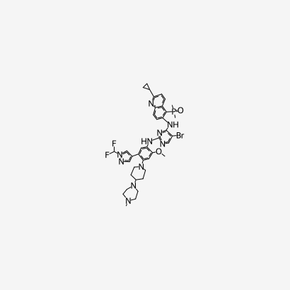 COc1cc(N2CCC(N3CCN(C)CC3)CC2)c(-c2cnn(C(F)F)c2)cc1Nc1ncc(Br)c(Nc2ccc3nc(C4CC4)ccc3c2P(C)(C)=O)n1